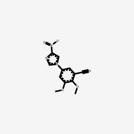 COc1cc(-n2cnc([N+](=O)[O-])c2)cc(C#N)c1OC